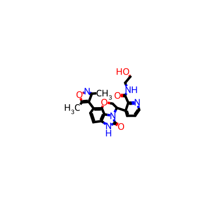 Cc1noc(C)c1-c1ccc2[nH]c(=O)n3c2c1OCC3c1cccnc1C(=O)NCCO